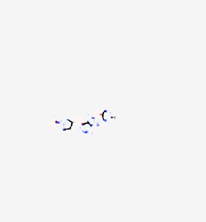 CCC(=O)N1CC[C@H](Oc2ncnc3c2nc(Oc2cnc(C)nc2)n3C)C1